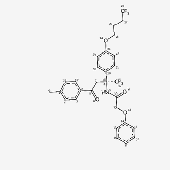 Cc1ccc(C(=O)C[C@](NC(=O)COc2ccccc2)(c2ccc(OCCCC(F)(F)F)cc2)C(F)(F)F)cc1